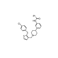 CC(C)C(=O)Nc1cccc(C2CCN(Cc3ccsc3Sc3ccc(Cl)cc3)CC2)c1